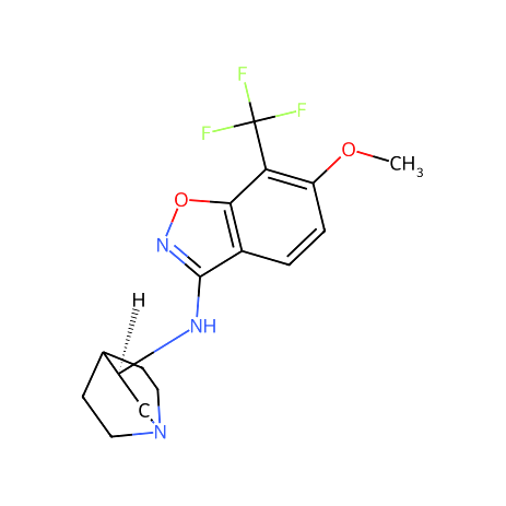 COc1ccc2c(N[C@H]3CN4CCC3CC4)noc2c1C(F)(F)F